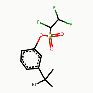 CCC(C)(C)c1cccc(OS(=O)(=O)C(F)C(F)F)c1